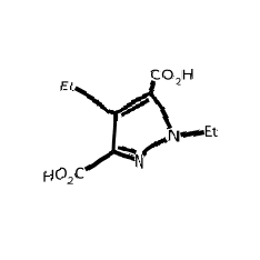 CCc1c(C(=O)O)nn(CC)c1C(=O)O